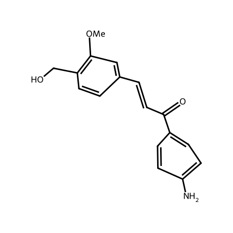 COc1cc(/C=C/C(=O)c2ccc(N)cc2)ccc1CO